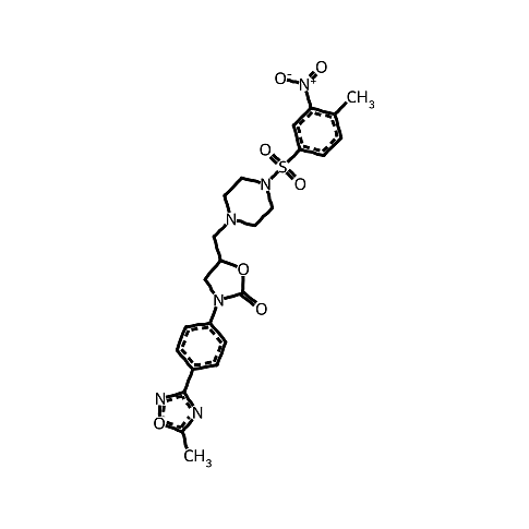 Cc1nc(-c2ccc(N3CC(CN4CCN(S(=O)(=O)c5ccc(C)c([N+](=O)[O-])c5)CC4)OC3=O)cc2)no1